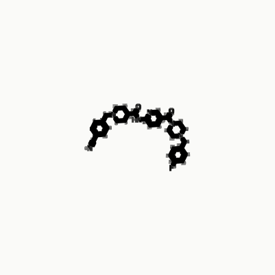 N#Cc1ccc(CN2CCC(C(=O)Nc3ccc(C(=O)N4CCN(Cc5ccc(F)cc5)CC4)cn3)CC2)cc1